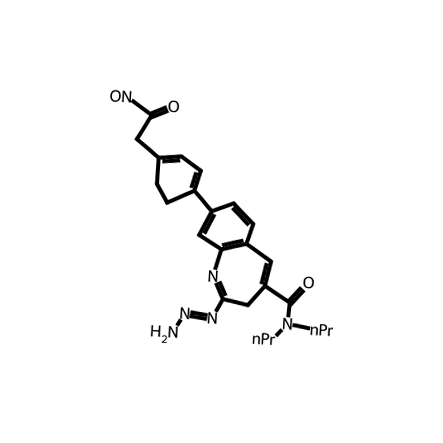 CCCN(CCC)C(=O)C1=Cc2ccc(C3=CC=C(CC(=O)N=O)CC3)cc2N=C(N=NN)C1